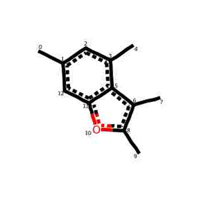 Cc1cc(C)c2c(C)c(C)oc2c1